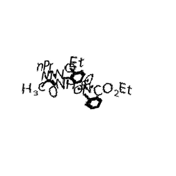 CCCc1nc(C)c2c(=O)[nH]c(-c3cc(S(=O)(=O)N(CC(=O)OCC)Cc4ccccc4)ccc3OCC)nn12